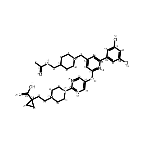 CC(=O)NCC1CCN(Cc2cc(Oc3cnc(N4CCN(CCC5(C(=O)O)CC5)CC4)nc3)nc(-c3cc(Cl)cc(Cl)c3)c2)CC1